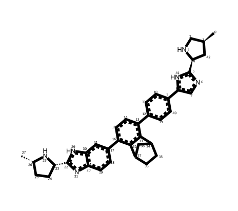 C[C@@H]1CN[C@H](c2ncc(-c3ccc(-c4ccc(-c5ccc6nc([C@@H]7CC[C@H](C)N7)[nH]c6c5)c5c4C4CCC5C4)cc3)[nH]2)C1